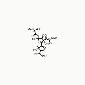 CN[C@H](C(=O)CC(O)([C]=O)C(=O)C(O)(CC(=O)C(C)(O)C(=O)[C@@H](NC)C(C)C)C(=O)[C@@H](NC)C(C)C)C(C)C